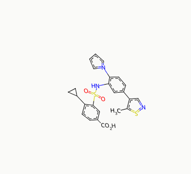 Cc1sncc1-c1ccc(-n2cccc2)c(NS(=O)(=O)c2cc(C(=O)O)ccc2C2CC2)c1